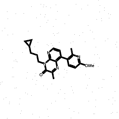 COc1ccc(-c2ccnc3c2nc(C)c(=O)n3CCCC2CC2)c(C)n1